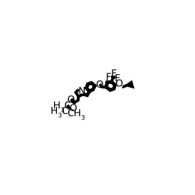 CC(C)(C)OC(=O)CC1CCn2c1cc1cc(OCc3ccc(OCC4CC4)c(C(F)(F)F)c3)ccc12